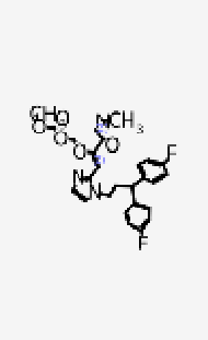 C/N=C\C(=O)/C(=C/c1nccn1CCC(c1ccc(F)cc1)c1ccc(F)cc1)OCOC(=O)OC